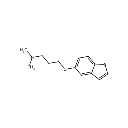 CN(C)CCCOc1ccc2sccc2c1